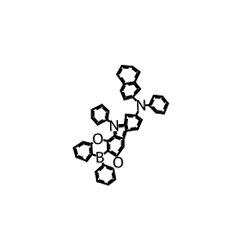 c1ccc(N(c2ccc3ccccc3c2)c2ccc3c4cc5c6c(c4n(-c4ccccc4)c3c2)Oc2ccccc2B6c2ccccc2O5)cc1